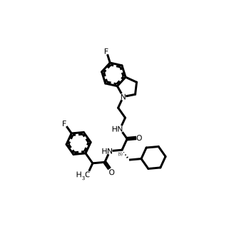 CC(C(=O)N[C@@H](CC1CCCCC1)C(=O)NCCN1CCc2cc(F)ccc21)c1ccc(F)cc1